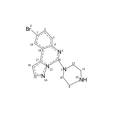 Brc1ccc2nc(N3CCNCC3)n3nccc3c2c1